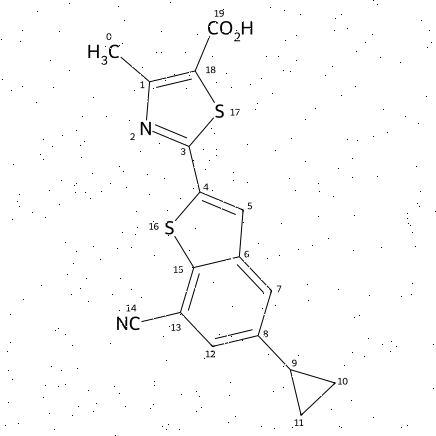 Cc1nc(-c2cc3cc(C4CC4)cc(C#N)c3s2)sc1C(=O)O